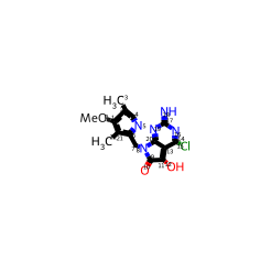 COc1c(C)cnc(CN2C(=O)C(O)=C3C(Cl)=NC(=N)N=C32)c1C